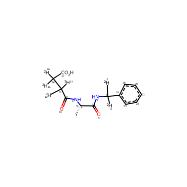 [2H]C([2H])(NC(=O)[C@H](C)NC(=O)C([2H])([2H])C([2H])([2H])C(=O)O)c1ccccc1